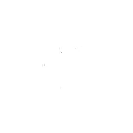 CCOC(=O)C1Cc2cc(F)ccc2CN1.Cl